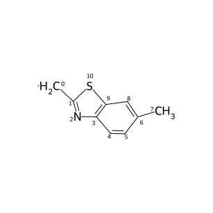 [CH2]c1nc2ccc(C)cc2s1